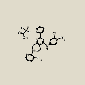 FC(F)(F)c1ccc(Nc2nc(-c3ccccn3)nc3c2CCN(c2ncccc2C(F)(F)F)CC3)cc1Cl.O=C(O)C(F)(F)F